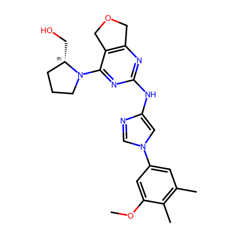 COc1cc(-n2cnc(Nc3nc4c(c(N5CCC[C@@H]5CO)n3)COC4)c2)cc(C)c1C